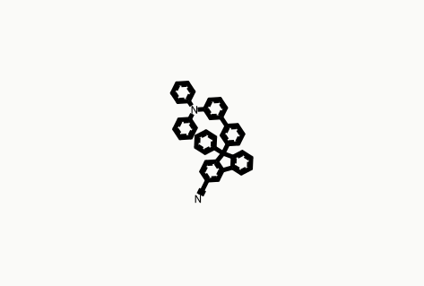 N#Cc1ccc2c(c1)-c1ccccc1C2(c1ccccc1)c1cccc(-c2cccc(N(c3ccccc3)c3ccccc3)c2)c1